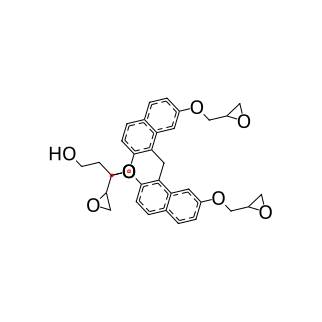 OCCCOc1ccc2ccc(OCC3CO3)cc2c1Cc1c(OCC2CO2)ccc2ccc(OCC3CO3)cc12